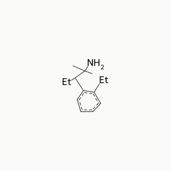 CCc1ccccc1C(CC)C(C)(C)N